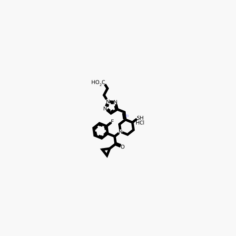 Cl.O=C(O)CCn1ncc(/C=C2\CN(C(C(=O)C3CC3)c3ccccc3F)CCC2S)n1